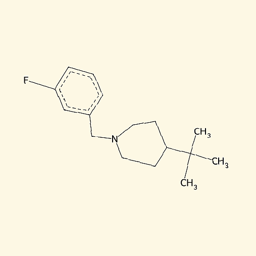 CC(C)(C)C1CCN(Cc2cccc(F)c2)CC1